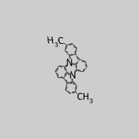 Cc1ccc2c3cccc4c3n(c2c1)c1cccc2c3ccc(C)cc3n4c21